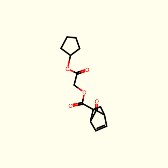 O=C(COC(=O)C1CC2C=CC1C2=O)OC1CCCC1